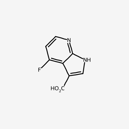 O=C(O)c1c[nH]c2nccc(F)c12